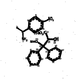 CC(N)c1ccc([N+](=O)[O-])cc1.COC(c1ccccc1)(c1ccccc1)C(O)C(=O)O